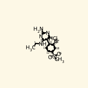 CCNc1nc(N)ncc1-c1ccc(S(C)(=O)=O)cc1Br.Cl